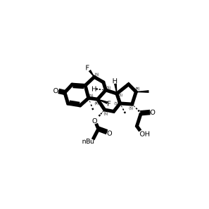 CCCCC(=O)O[C@H]1C[C@@]2(C)[C@@H](C[C@@H](C)[C@@H]2C(=O)CO)[C@@H]2C[C@H](F)C3=CC(=O)C=C[C@]3(C)[C@@]12F